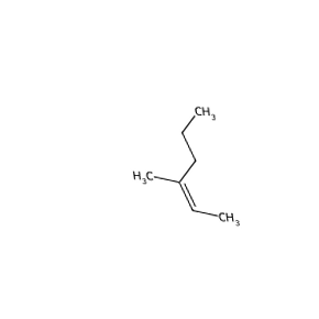 CC=C(C)CCC